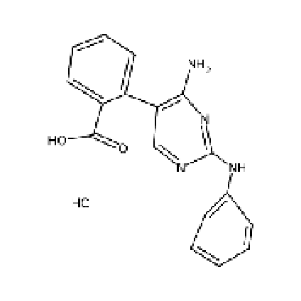 Cl.Nc1nc(Nc2ccccc2)ncc1-c1ccccc1C(=O)O